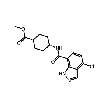 COC(=O)[C@H]1CC[C@H](NC(=O)c2ccc(Cl)c3cn[nH]c23)CC1